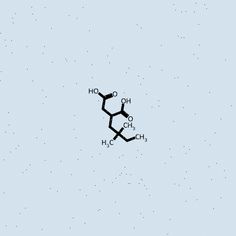 CCC(C)(C)CC(CC(=O)O)C(=O)O